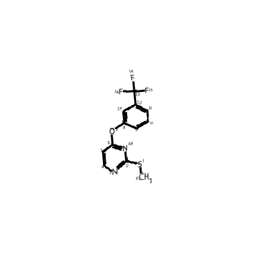 CSc1nccc(Oc2cccc(C(F)(F)F)c2)n1